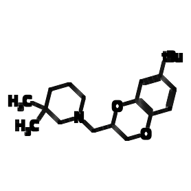 CC1(C)CCCN(CC2COc3ccc(C(C)(C)C)cc3O2)C1